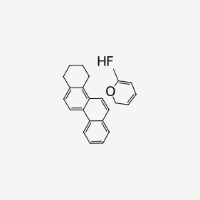 CC1=CC=CCO1.F.c1ccc2c(c1)ccc1c3c(ccc12)CCCC3